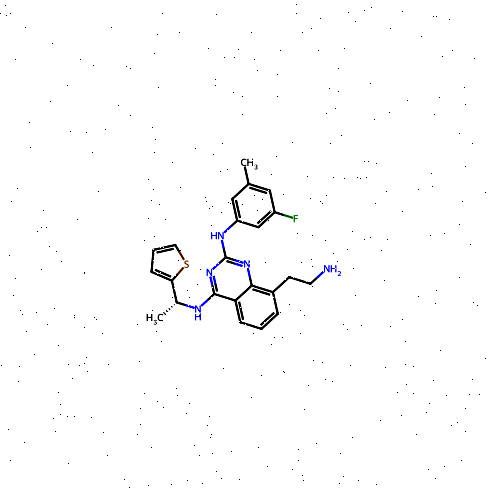 Cc1cc(F)cc(Nc2nc(N[C@H](C)c3cccs3)c3cccc(CCN)c3n2)c1